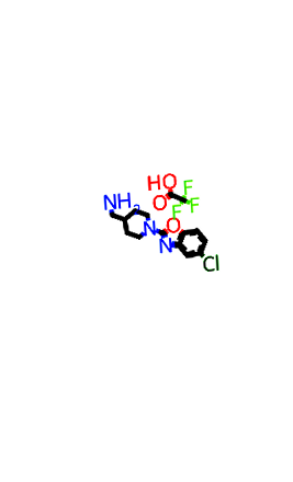 NCC1CCN(c2nc3cc(Cl)ccc3o2)CC1.O=C(O)C(F)(F)F